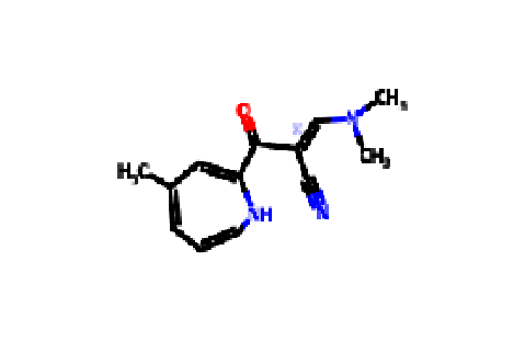 CC1=CC=CNC(C(=O)/C(C#N)=C/N(C)C)=C1